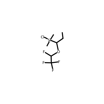 CCC(OC(F)C(F)(F)F)[Si](C)(C)Cl